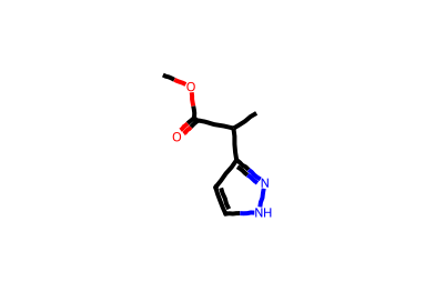 COC(=O)C(C)c1cc[nH]n1